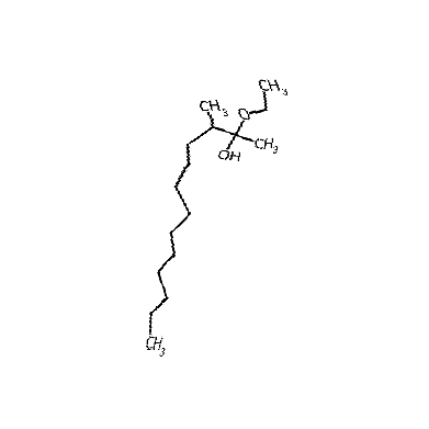 CCCCCCCCCCC(C)C(C)(O)OCC